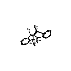 CCC1=C(C)[CH]([Hf]([CH3])([CH3])([CH]2C(C)=C(CC)c3ccccc32)[GeH]([CH3])[CH3])c2ccccc21